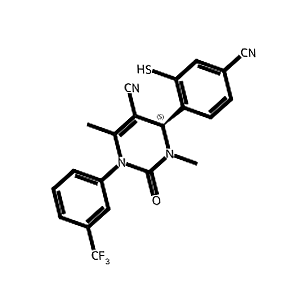 CC1=C(C#N)[C@@H](c2ccc(C#N)cc2S)N(C)C(=O)N1c1cccc(C(F)(F)F)c1